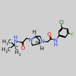 CC(C)(C)NC(=O)CN1C[C@H]2C[C@@H]1CN2CC(=O)Nc1cc(F)cc(Cl)c1